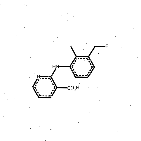 Cc1c(CF)cccc1Nc1ncccc1C(=O)O